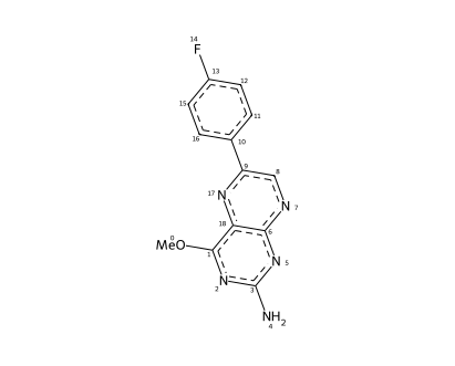 COc1nc(N)nc2ncc(-c3ccc(F)cc3)nc12